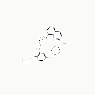 C=CCOc1cc(CN2CCC(Nc3ccc4cccc(Cl)c4n3)CC2)ccc1OC